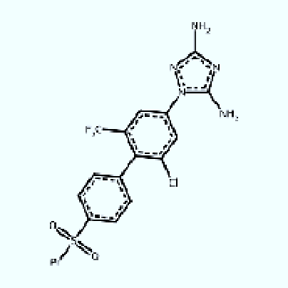 CC(C)S(=O)(=O)c1ccc(-c2c(Cl)cc(-n3nc(N)nc3N)cc2C(F)(F)F)cc1